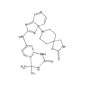 CC1(C)NC(=O)Nc2cc(NC3=N[N+]4(N5CCC6(CC5)CNC(=O)O6)C=CN=CC4=N3)ccc21